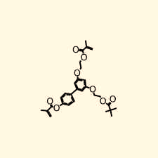 C=C(C)C(=O)OCCOc1cc(OCCOC(=O)C(C)(C)C)cc(-c2ccc(OC(=O)C(=C)C)cc2)c1